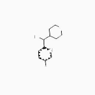 OC(c1ccc(F)cn1)C1CCOCC1